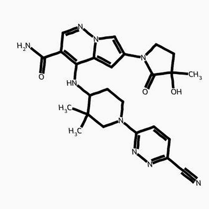 CC1(O)CCN(c2cc3c(NC4CCN(c5ccc(C#N)nn5)CC4(C)C)c(C(N)=O)cnn3c2)C1=O